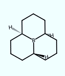 C1C[C@H]2CCC[C@H]3CCC[C@H](C1)B23